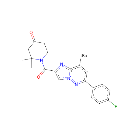 CC(C)(C)c1cc(-c2ccc(F)cc2)nn2cc(C(=O)N3CCC(=O)CC3(C)C)nc12